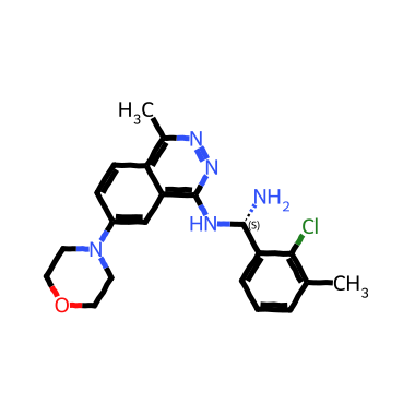 Cc1cccc([C@@H](N)Nc2nnc(C)c3ccc(N4CCOCC4)cc23)c1Cl